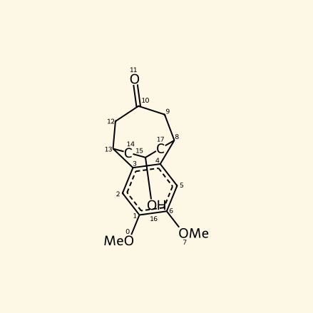 COc1cc2c(cc1OC)C1CC(=O)CC2CC(O)C1